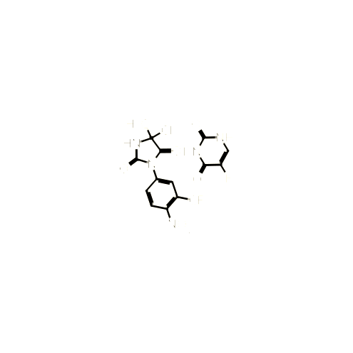 CC1(C)NC(=O)N(c2ccc([N+](=O)[O-])c(C(F)(F)F)c2)C1=O.O=c1[nH]cc(F)c(=O)[nH]1